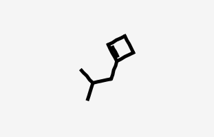 CC(C)CC1=CCC1